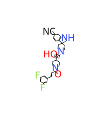 N#Cc1ccc2c(c1)NCC21CCN(C[C@@H](O)C2CCN(C(=O)C=Cc3cc(F)cc(F)c3)CC2)CC1